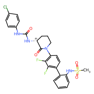 CS(=O)(=O)Nc1ccccc1-c1ccc(N2CCC[C@@H](NC(=O)Nc3ccc(Cl)cc3)C2=O)c(F)c1F